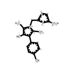 Cc1c(C#N)c(-c2ccc(C#N)cc2)c(C)n1Cc1ncc(C(=O)O)s1